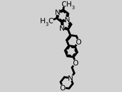 Cc1cn2cc(C3=Cc4ccc(OCCN5CCOCC5)cc4OC3)nc2c(C)n1